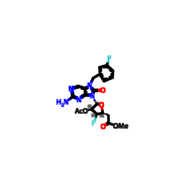 COC(=O)C[C@H]1O[C@@H](n2c(=O)n(Cc3cccc(F)c3)c3cnc(N)nc32)[C@H](OC(C)=O)[C@@H]1F